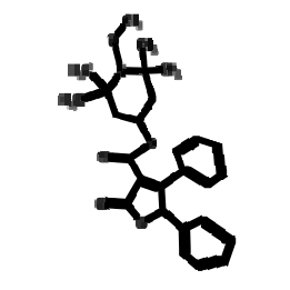 CON1C(C)(C)CC(OC(=O)C2=C(c3ccccc3)C(c3ccccc3)OC2=O)CC1(C)C